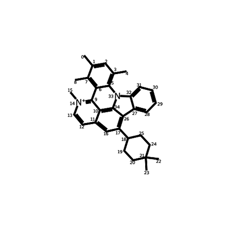 Cc1cc(C)c2c(c1C)c1c3c(cc[n+]1C)cc(C1CCC(C)(C)CC1)c1c4ccccc4n2c13